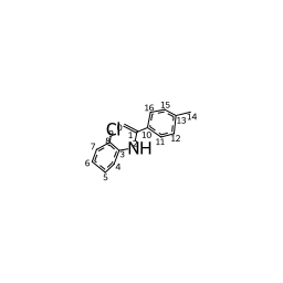 C=C(Nc1ccccc1Cl)c1ccc(C)cc1